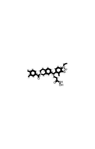 CCn1nnc2c(C)c([C@@H](CCC(=O)NO)c3ccc4c(c3)CN(C(=O)c3ccc(C)c(C)c3)CC4)ccc21